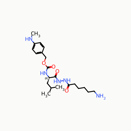 CNc1ccc(COC(=O)N[C@H](CC(C)C)C(=O)NNC(=O)CCCCCN)cc1